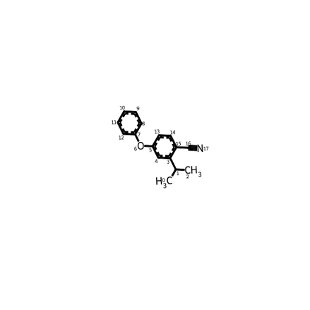 CC(C)c1cc(Oc2ccccc2)ccc1C#N